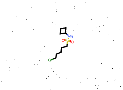 O=S(=O)(CCCCCCl)NC1CCC1